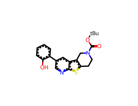 CC(C)(C)OC(=O)N1CCc2sc3ncc(-c4ccccc4O)cc3c2C1